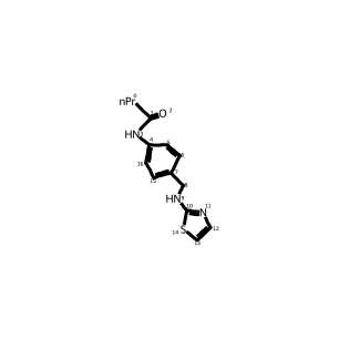 CCCC(=O)Nc1ccc(CNc2nccs2)cc1